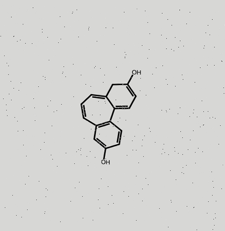 OC1=CC=C2C(=CC=Cc3cc(O)ccc32)C1